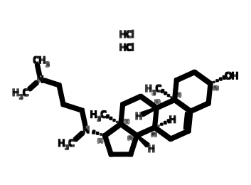 CN(C)CCCN(C)[C@H]1CC[C@H]2[C@@H]3CC=C4C[C@@H](O)CC[C@]4(C)[C@H]3CC[C@]12C.Cl.Cl